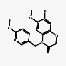 COc1ccc(CN2C(=O)COc3cc(Br)c(OC)cc32)cn1